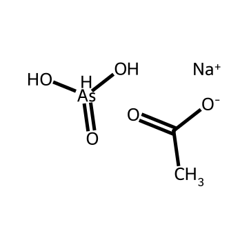 CC(=O)[O-].O=[AsH](O)O.[Na+]